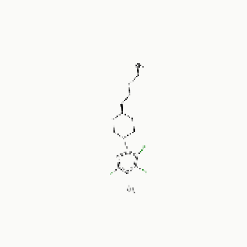 CCCCC[C@H]1CC[C@H](c2cc(F)c(C)c(F)c2F)CC1